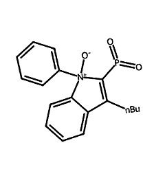 CCCCC1=C(P(=O)=O)[N+]([O-])(c2ccccc2)c2ccccc21